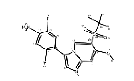 COc1cc2ncc(-c3cc(F)c(N)cc3F)n2cc1S(=O)(=O)C(C)(C)C